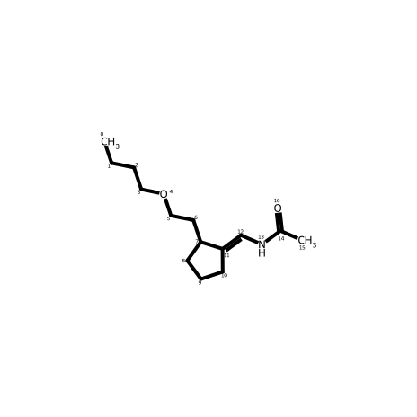 CCCCOCCC1CCC/C1=C\NC(C)=O